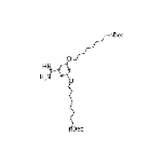 CCCCCCCCCCCCCCCCCCOc1cc(OCCCCCCCCCCCCCCCCCC)cc(C(=N)N)c1